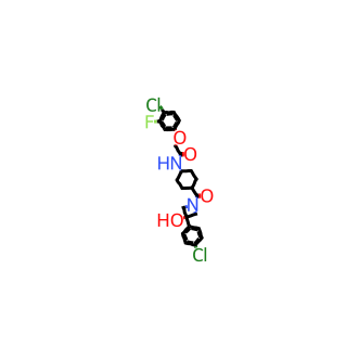 O=C(COc1ccc(Cl)c(F)c1)NC1CCC(C(=O)N2CC(O)(c3ccc(Cl)cc3)C2)CC1